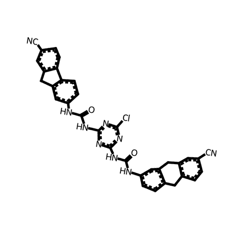 N#Cc1ccc2c(c1)Cc1cc(NC(=O)Nc3nc(Cl)nc(NC(=O)Nc4ccc5c(c4)Cc4cc(C#N)ccc4-5)n3)ccc1C2